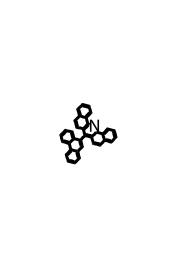 c1ccc2c(c1)cc(-c1c3ccc4ccccc4c3nc3c1ccc1ccccc13)c1ccccc12